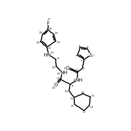 O=C(Cc1cccs1)NC(CC1CCCCC1)C(=O)NCCNc1ccc(F)cc1